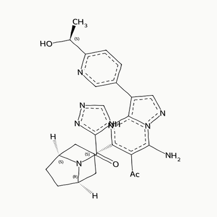 CC(=O)c1c([C@@H]2C[C@H]3CC[C@@H](C2)N3C(=O)c2nnc[nH]2)nc2c(-c3ccc([C@H](C)O)nc3)cnn2c1N